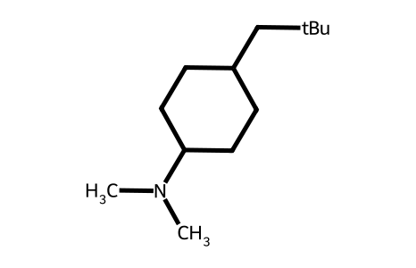 CN(C)C1CCC(CC(C)(C)C)CC1